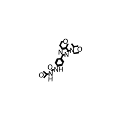 CC1COCCN1c1nc(-c2ccc(NC(=O)NC3COC3)cc2)nc2c1COCC2